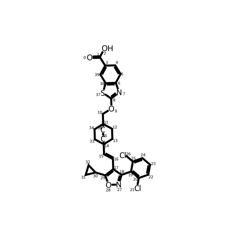 O=C(O)c1ccc2nc(OCC34CCC(C=Cc5c(-c6c(Cl)cccc6Cl)noc5C5CC5)(CC3)CC4)sc2c1